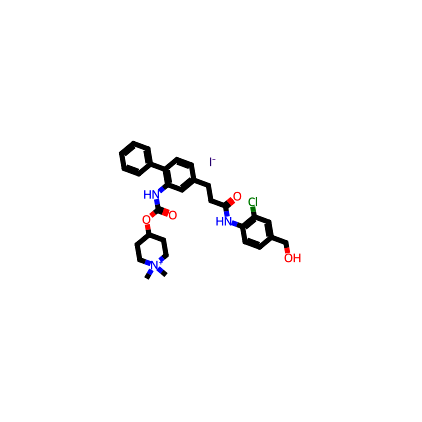 C[N+]1(C)CCC(OC(=O)Nc2cc(CCC(=O)Nc3ccc(CO)cc3Cl)ccc2-c2ccccc2)CC1.[I-]